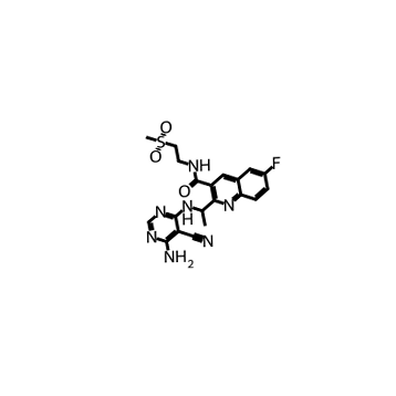 CC(Nc1ncnc(N)c1C#N)c1nc2ccc(F)cc2cc1C(=O)NCCS(C)(=O)=O